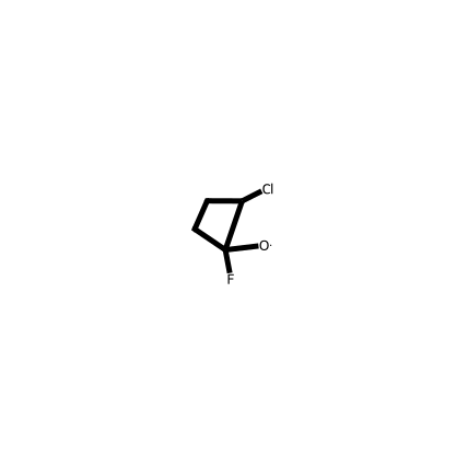 [O]C1(F)CCC1Cl